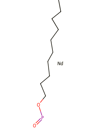 CCCCCCCCCCOP=O.[Nd]